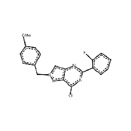 COc1ccc(Cn2cc3nc(-c4ccccc4F)nc(Cl)c3n2)cc1